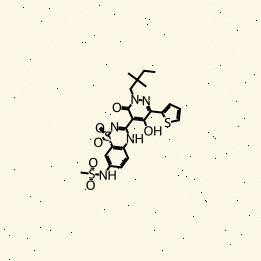 CCC(C)(C)Cn1nc(-c2cccs2)c(O)c(C2=NS(=O)(=O)c3cc(NS(C)(=O)=O)ccc3N2)c1=O